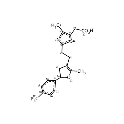 CC1=C(CCc2nc(C)c(CC(=O)O)s2)CC(c2ccc(C(F)(F)F)cc2)O1